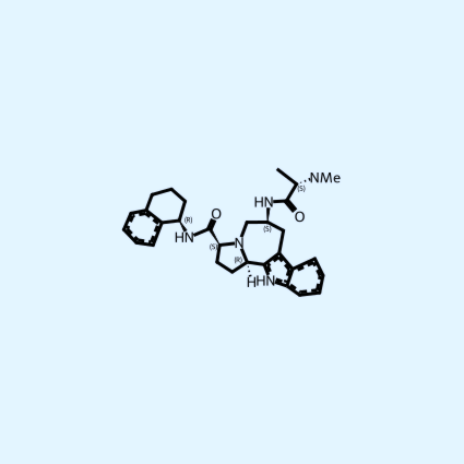 CN[C@@H](C)C(=O)N[C@H]1Cc2c([nH]c3ccccc23)[C@H]2CC[C@@H](C(=O)N[C@@H]3CCCc4ccccc43)N2C1